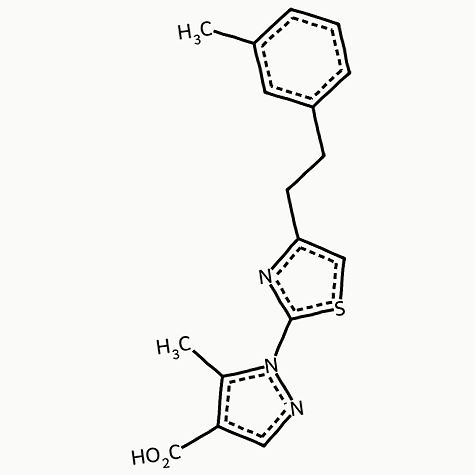 Cc1cccc(CCc2csc(-n3ncc(C(=O)O)c3C)n2)c1